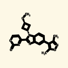 CO[C@H]1C[C@H](n2c(-c3ccoc(=O)n3)nc3cc(-c4c(C)noc4C)ccc32)C1